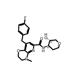 CN1CCOc2c(Cc3ccc(F)cc3)cc(C(=O)N[C@@H]3CCOC[C@H]3O)nc21